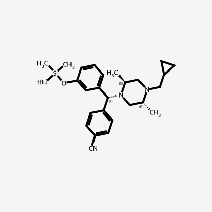 C[C@@H]1CN([C@H](c2ccc(C#N)cc2)c2cccc(O[Si](C)(C)C(C)(C)C)c2)[C@@H](C)CN1CC1CC1